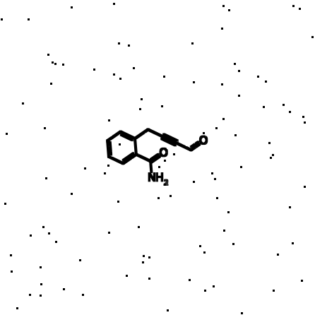 NC(=O)c1ccccc1CC#CC=O